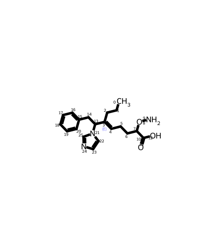 CCC/C(=C\CCC(ON)C(=O)O)C(Cc1ccccc1)n1ccnc1